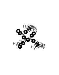 CC1(C)c2ccccc2-c2ccc(-n3c4ccc(N(c5ccc(B6OC(C)(C)C(C)(C)O6)cc5)c5ccc6c(c5)CCCC6)cc4c4cc(N(c5ccc(B6OC(C)(C)C(C)(C)O6)cc5)c5ccc6c(c5)CCCC6)ccc43)cc21